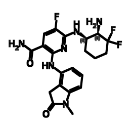 CN1C(=O)Cc2c(Nc3nc(N[C@@H]4CCCC(F)(F)[C@@H]4N)c(F)cc3C(N)=O)cccc21